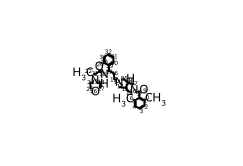 Cc1cccc(C)c1C(=O)N1CC2CN(CCC(NC(=O)C(C)N3CCOCC3)c3ccccc3)C[C@H]2C1